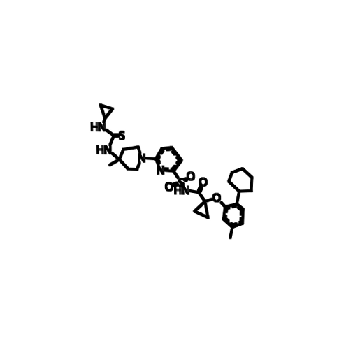 Cc1ccc(C2CCCCC2)c(OC2(C(=O)NS(=O)(=O)c3cccc(N4CCC(C)(NC(=S)NC5CC5)CC4)n3)CC2)c1